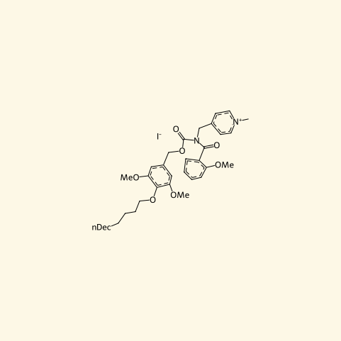 CCCCCCCCCCCCCCOc1c(OC)cc(COC(=O)N(Cc2cc[n+](C)cc2)C(=O)c2ccccc2OC)cc1OC.[I-]